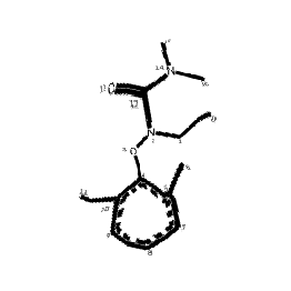 CCN(Oc1c(C)cccc1C)C(=O)N(C)C